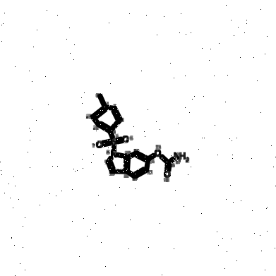 Cc1ccc(S(=O)(=O)n2ccc3ccc(OC(N)=O)cc32)cc1